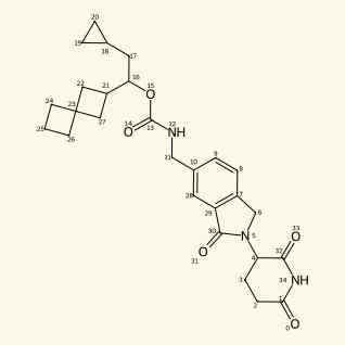 O=C1CCC(N2Cc3ccc(CNC(=O)OC(CC4CC4)C4CC5(CCC5)C4)cc3C2=O)C(=O)N1